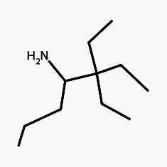 CCCC(N)C(CC)(CC)CC